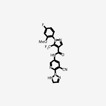 COc1cc(F)ccc1-n1ncc(C(=O)Nc2cnc(N3N=CCN3)c(C#N)c2)c1C(F)(F)F